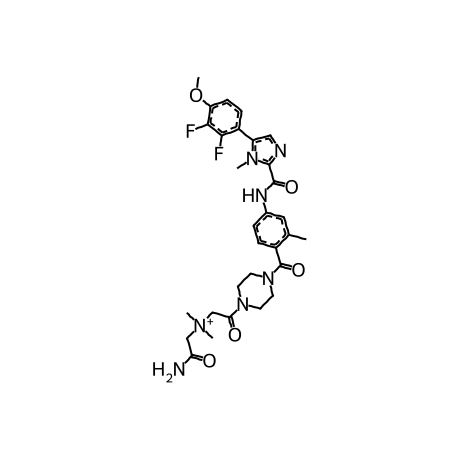 COc1ccc(-c2cnc(C(=O)Nc3ccc(C(=O)N4CCN(C(=O)C[N+](C)(C)CC(N)=O)CC4)c(C)c3)n2C)c(F)c1F